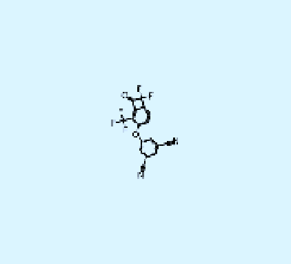 N#Cc1cc(C#N)cc(OC2=C=C=C3C(=C2C(F)(F)F)C(=O)C3(F)F)c1